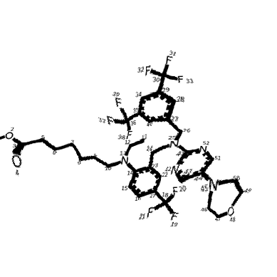 CCOC(=O)CCCCCCN(CC)c1ccc(C(F)(F)F)cc1CN(Cc1cc(C(F)(F)F)cc(C(F)(F)F)c1)c1ncc(N2CCOCC2)cn1